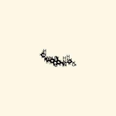 COC[C@@H]1CN[C@H](c2ncc(-c3cc4c5c(c3)OCc3cc(-c6cnc([C@@H]7CC[C@H](C)N7)[nH]6)cc(c3-5)OC4)[nH]2)C1